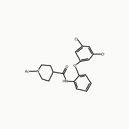 CC(=O)N1CCC(C(=O)Nc2ccccc2Oc2cc(Cl)cc(Cl)c2)CC1